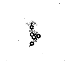 CC(C)(C)c1ccc(S(=O)(=O)N2CCC3=Cc4c(cnn4-c4ccc(F)cc4)CC3([C@H](O)c3ccccc3)C2)cc1